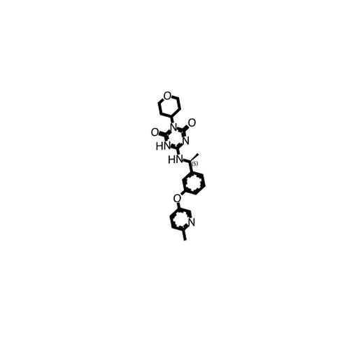 Cc1ccc(Oc2cccc([C@H](C)Nc3nc(=O)n(C4CCOCC4)c(=O)[nH]3)c2)cn1